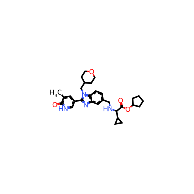 Cc1cc(-c2nc3cc(CNC(C(=O)OC4CCCC4)C4CC4)ccc3n2CC2CCOCC2)c[nH]c1=O